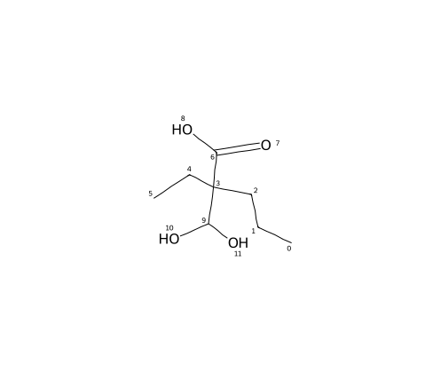 CCCC(CC)(C(=O)O)C(O)O